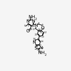 Cc1nc(N)nc(N2CCOc3ccc(-c4cnc5sc(N)nc5c4)cc3C2)c1C=O